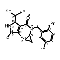 CC(C)c1ccc(F)cc1CN(C(=O)C1=C(F)N(C)NC1C(F)F)C1CC1